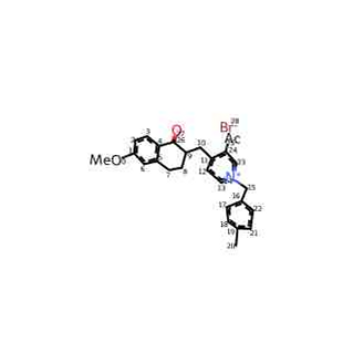 COc1ccc2c(c1)CCC(Cc1cc[n+](Cc3ccc(C)cc3)cc1C(C)=O)C2=O.[Br-]